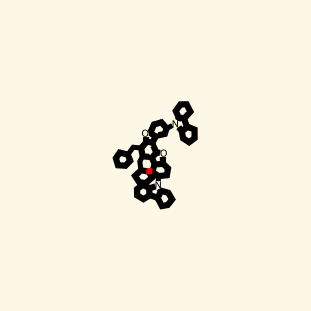 c1ccc(Cc2c(Cc3ccccc3)c3c4cc(-n5c6ccccc6c6ccccc65)ccc4oc3c3c2oc2ccc(-n4c5ccccc5c5ccccc54)cc23)cc1